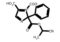 CC(C#N)OC(=O)C1(c2ccccc2)N=CC(C(=O)O)=[N+]1C(=O)[O-]